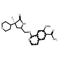 COc1cc2c(OCC3C[C@@](F)(C4CCOCC4)C(=O)N3)nccc2cc1C(N)=O